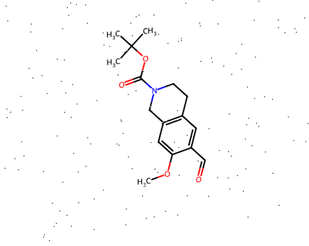 COc1cc2c(cc1C=O)CCN(C(=O)OC(C)(C)C)C2